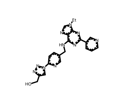 CCn1cnc2c(NCc3ccc(-n4cc(CO)nn4)nc3)nc(-c3cccnc3)nc21